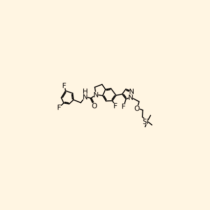 C[Si](C)(C)CCOCn1ncc(-c2cc3c(cc2F)N(C(=O)NCc2cc(F)cc(F)c2)CC3)c1F